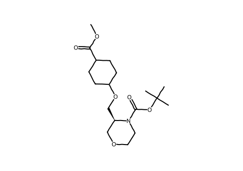 COC(=O)C1CCC(OC[C@@H]2COCCN2C(=O)OC(C)(C)C)CC1